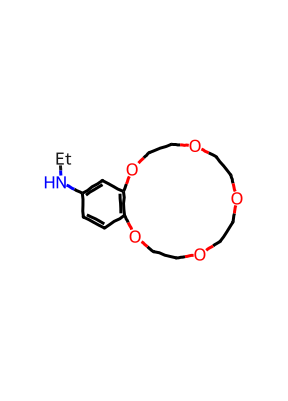 CCNc1ccc2c(c1)OCCOCCOCCOCCO2